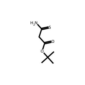 CC(C)(C)OC(=O)CC(N)=S